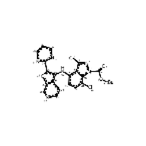 CC(C)(C)OC(=O)n1nc(Cl)c2c(Nc3c(-c4ncccn4)oc4cnccc34)ccc(Cl)c21